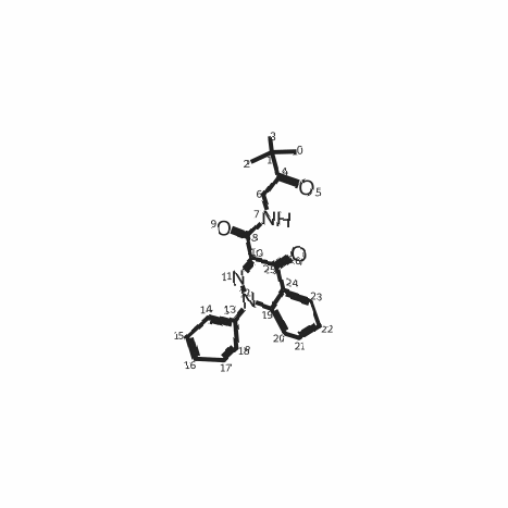 CC(C)(C)C(=O)CNC(=O)c1nn(-c2ccccc2)c2ccccc2c1=O